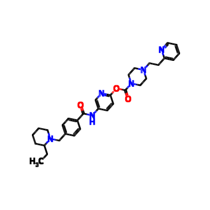 CCC1CCCCN1Cc1ccc(C(=O)Nc2ccc(OC(=O)N3CCN(CCc4ccccn4)CC3)nc2)cc1